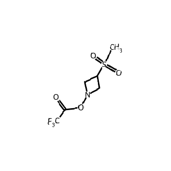 CS(=O)(=O)C1CN(OC(=O)C(F)(F)F)C1